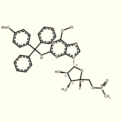 CCOc1nc(NC(c2ccccc2)(c2ccccc2)c2ccc(OC)cc2)nc2c1ncn2[C@@H]1O[C@](F)(CO[PH](C)=O)[C@@H](C)[C@H]1O